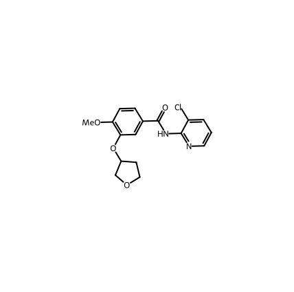 COc1ccc(C(=O)Nc2ncccc2Cl)cc1OC1CCOC1